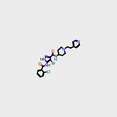 O=C(Nc1[nH]nc(C(=O)NC2CCN(CCc3ccncc3)CC2)c1Br)c1ccccc1Cl